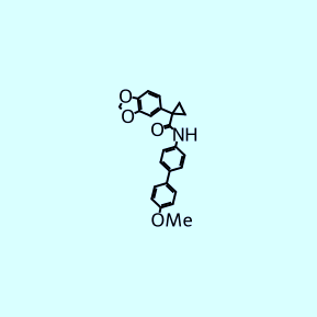 COc1ccc(-c2ccc(NC(=O)C3(c4ccc5c(c4)OCO5)CC3)cc2)cc1